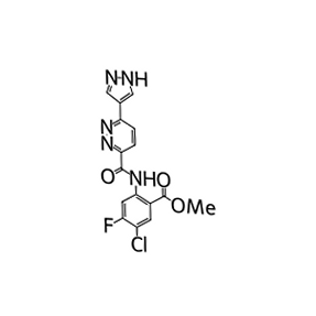 COC(=O)c1cc(Cl)c(F)cc1NC(=O)c1ccc(-c2cn[nH]c2)nn1